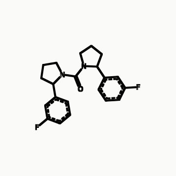 O=C(N1CCCC1c1cccc(F)c1)N1CCCC1c1cccc(F)c1